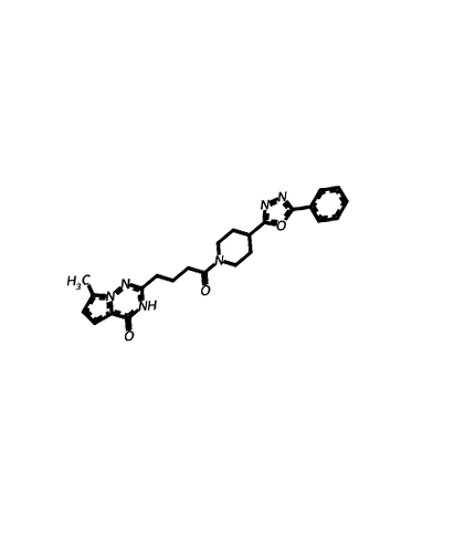 Cc1ccc2c(=O)[nH]c(CCCC(=O)N3CCC(c4nnc(-c5ccccc5)o4)CC3)nn12